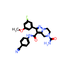 COc1cc(F)cc(-c2nn3c(c2C(=O)Nc2ccc(C#N)cc2)CN(C(N)=O)CC3)c1